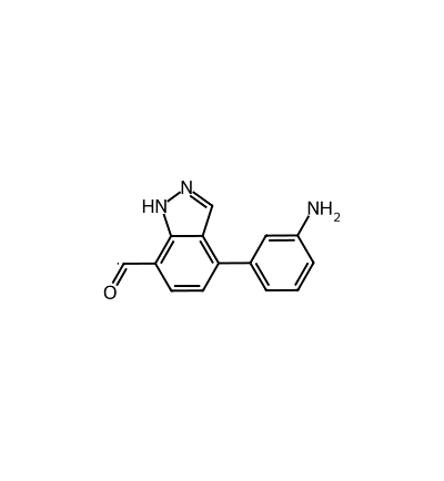 Nc1cccc(-c2ccc([C]=O)c3[nH]ncc23)c1